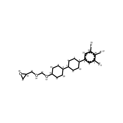 Fc1cc(C2CCC(C3CCC(OCOCC4CO4)CC3)CC2)cc(F)c1F